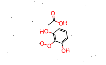 CC(=O)O.[O]Oc1c(O)cccc1O